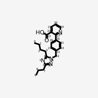 CCCCc1nc(CCC)nn1Cc1ccc(-c2ncccc2C(=O)O)cc1